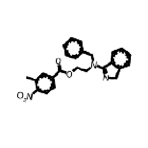 Cc1cc(C(=O)OCCN(Cc2ccccc2)C2=NCc3ccccc32)ccc1[N+](=O)[O-]